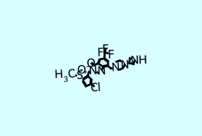 CC[S+]([O-])c1ccc(Cl)cc1Cn1cnc2c(CN3CCN(C4CNC4)CC3)cc(C(F)(F)F)cc2c1=O